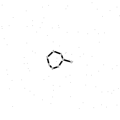 [O-][s+]1ssssss1